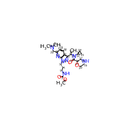 COC(=O)NCCCn1nc([C@@H](C)N(C(=O)[C@H]2CNCCO2)C2CC2)c2ccc(CN(C)C)nc21